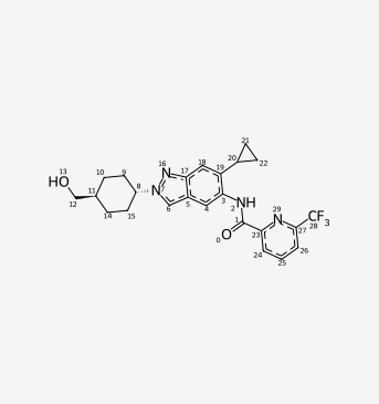 O=C(Nc1cc2cn([C@H]3CC[C@H](CO)CC3)nc2cc1C1CC1)c1cccc(C(F)(F)F)n1